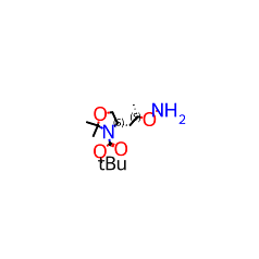 C[C@@H](C[C@H]1COC(C)(C)N1C(=O)OC(C)(C)C)ON